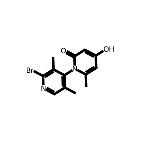 Cc1cnc(Br)c(C)c1-n1c(C)cc(O)cc1=O